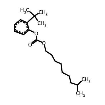 CC(C)CCCCCCCOC(=O)Oc1ccccc1C(C)(C)C